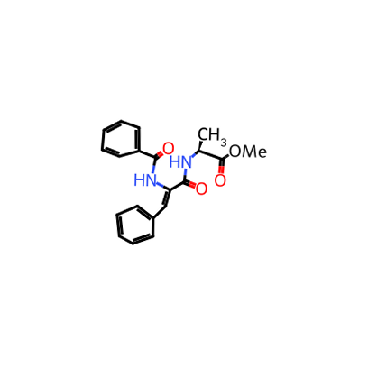 COC(=O)[C@H](C)NC(=O)/C(=C/c1ccccc1)NC(=O)c1ccccc1